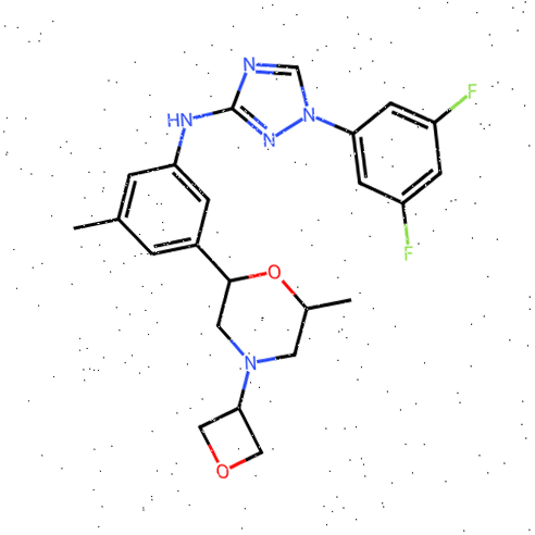 Cc1cc(Nc2ncn(-c3cc(F)cc(F)c3)n2)cc(C2CN(C3COC3)CC(C)O2)c1